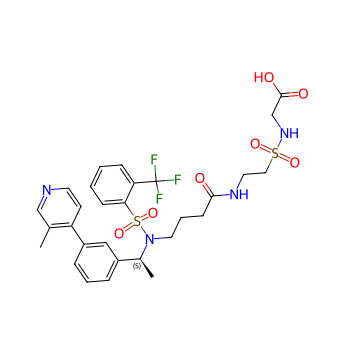 Cc1cnccc1-c1cccc([C@H](C)N(CCCC(=O)NCCS(=O)(=O)NCC(=O)O)S(=O)(=O)c2ccccc2C(F)(F)F)c1